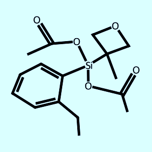 CCc1ccccc1[Si](OC(C)=O)(OC(C)=O)C1(C)COC1